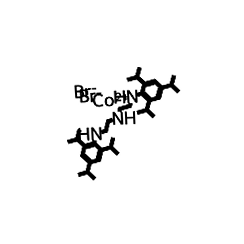 CC(C)c1cc(C(C)C)c(NCCNCCNc2c(C(C)C)cc(C(C)C)cc2C(C)C)c(C(C)C)c1.[Br-].[Br-].[Co+2]